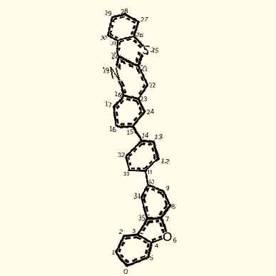 c1ccc2c(c1)oc1ccc(-c3ccc(-c4ccc5nc6c(cc5c4)sc4ccccc46)cc3)cc12